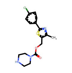 Cc1nc(-c2ccc(Cl)cc2)sc1COC(=O)N1CCNCC1